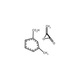 C=C1OC1=O.Cc1cccc(C(=O)O)c1